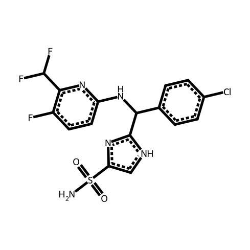 NS(=O)(=O)c1c[nH]c(C(Nc2ccc(F)c(C(F)F)n2)c2ccc(Cl)cc2)n1